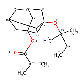 C=C(C)C(=O)OC12CC3CC(C1)CC(OC(C)(C)CC)(C3)C2